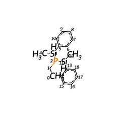 CCP([SiH](C)c1ccccc1)[SiH](C)c1ccccc1